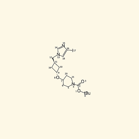 CC(C)(C)OC(=O)N1CCC(O[C@H]2C[C@H](Cn3cnc(I)c3)C2)CC1